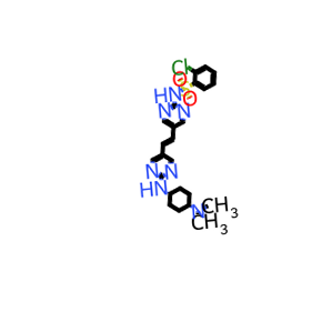 CN(C)[C@H]1CC[C@H](Nc2ncc(C=Cc3cnc(NS(=O)(=O)c4ccccc4Cl)nc3)cn2)CC1